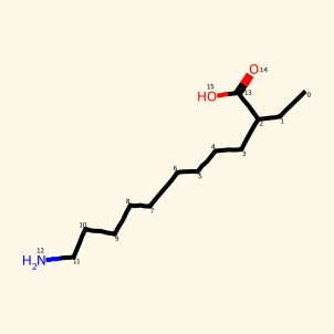 CCC(CCCCCCCCCN)C(=O)O